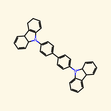 C1=CC2C3=C(C=CCC3)N(c3ccc(-c4ccc(N5c6ccccc6C6C=CC=CC65)cc4)cc3)C2C=C1